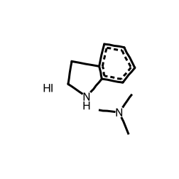 CN(C)C.I.c1ccc2c(c1)CCN2